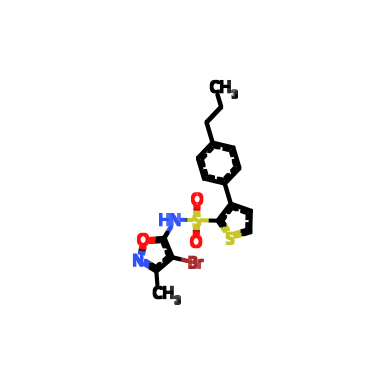 CCCc1ccc(-c2ccsc2S(=O)(=O)Nc2onc(C)c2Br)cc1